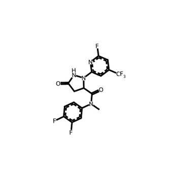 CN(C(=O)C1CC(=O)NN1c1cc(C(F)(F)F)cc(F)n1)c1ccc(F)c(F)c1